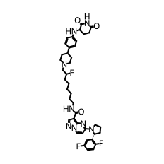 O=C1CCC(Nc2ccc(C3CCN(CC(F)CCCCCCNC(=O)c4cnn5ccc(N6CCC[C@@H]6c6cc(F)ccc6F)nc45)CC3)cc2)C(=O)N1